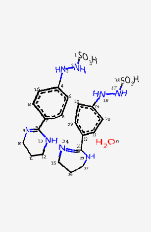 O.O=S(=O)(O)NNc1ccc(C2=NCCCN2)cc1.O=S(=O)(O)NNc1ccc(C2=NCCCN2)cc1